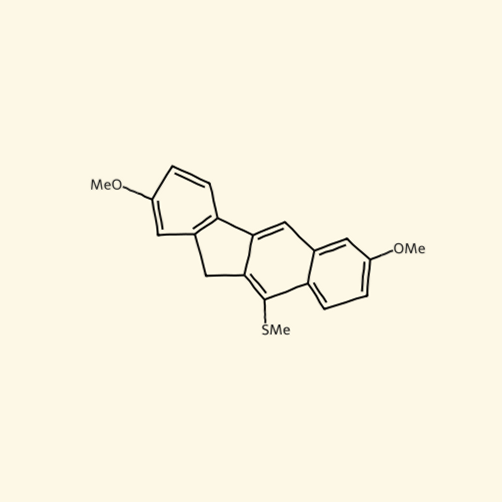 COc1ccc2c(c1)Cc1c-2cc2cc(OC)ccc2c1SC